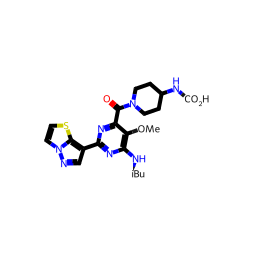 CC[C@H](C)Nc1nc(-c2cnn3ccsc23)nc(C(=O)N2CCC(NC(=O)O)CC2)c1OC